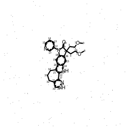 COCCC1(CCOC)C(=O)N(c2cccnc2)c2cc3c4c([nH]c3cc21)-c1n[nH]cc1CCC4